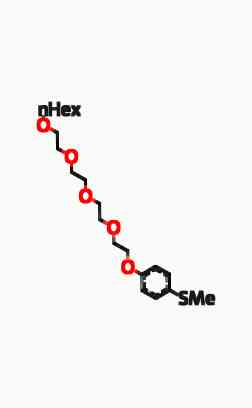 CCCCCCOCCOCCOCCOCCOc1ccc(SC)cc1